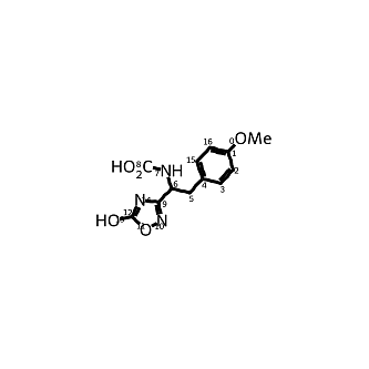 COc1ccc(CC(NC(=O)O)c2noc(O)n2)cc1